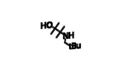 CC(C)(C)CNC(C)(C)C(C)(C)O